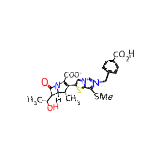 CSc1c2sc(C3=C(C(=O)[O-])N4C(=O)[C@H]([C@@H](C)O)[C@H]4[C@H]3C)c[n+]2cn1Cc1ccc(C(=O)O)cc1